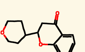 O=C1CC(C2CCOCC2)Oc2ccccc21